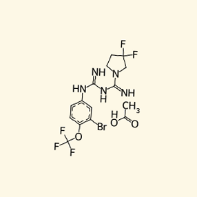 CC(=O)O.N=C(NC(=N)N1CCC(F)(F)C1)Nc1ccc(OC(F)(F)F)c(Br)c1